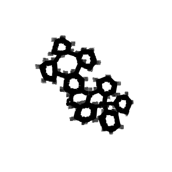 c1ccc([Si]2(c3ccccc3)c3ccccc3B3c4cc5c(cc4Oc4cccc2c43)-c2ccccc2-c2ccccc2-c2ccccc2-5)cc1